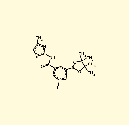 Cc1csc(NC(=O)c2cc(F)cc(B3OC(C)(C)C(C)(C)O3)c2)n1